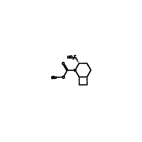 CC(C)(C)OC(=O)N1C2CCC2CC[C@H]1C(=O)O